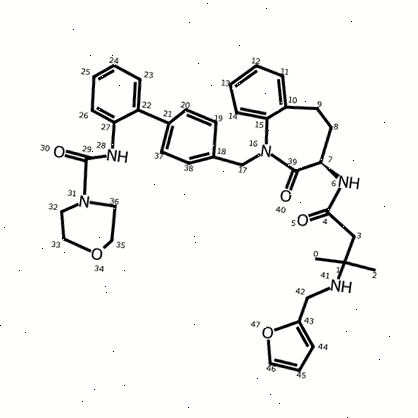 CC(C)(CC(=O)N[C@@H]1CCc2ccccc2N(Cc2ccc(-c3ccccc3NC(=O)N3CCOCC3)cc2)C1=O)NCc1ccco1